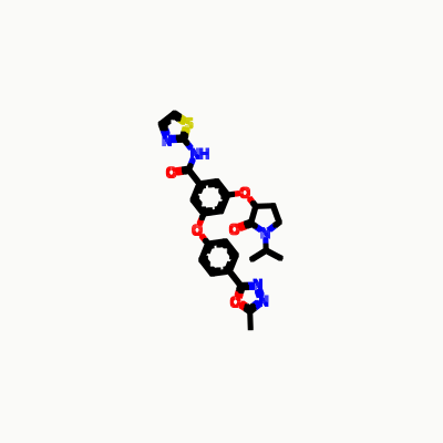 Cc1nnc(-c2ccc(Oc3cc(OC4CCN(C(C)C)C4=O)cc(C(=O)Nc4nccs4)c3)cc2)o1